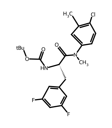 Cc1cc(N(C)C(=O)[C@H](Cc2cc(F)cc(F)c2)NC(=O)OC(C)(C)C)ccc1Cl